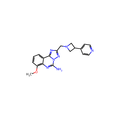 COc1cccc2c1nc(N)n1nc(CN3CC(c4ccncc4)C3)nc21